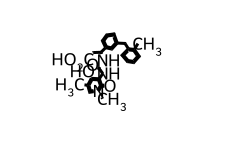 Cc1ccccc1Cc1cccc(C(CC(=O)O)NC(=O)Nc2c(O)c(C)cn(C)c2=O)c1